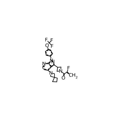 C=C(F)C(=O)N1CC(c2nn(-c3ccc(OC(F)(F)F)cc3)c3nccc(N4CC5(CCC5)C4)c23)C1